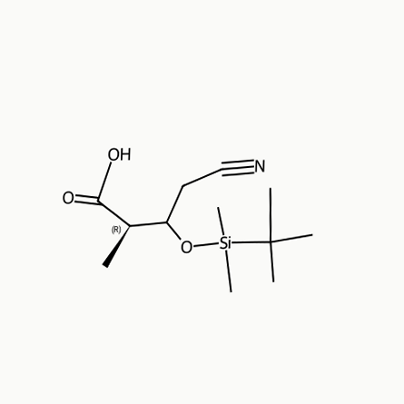 C[C@@H](C(=O)O)C(CC#N)O[Si](C)(C)C(C)(C)C